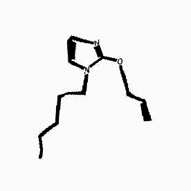 C=CCOc1nccn1CCCCC